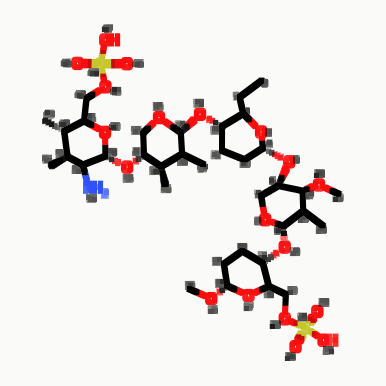 CCC1O[C@H](O[C@@H]2CO[C@@H](O[C@H]3CC[C@@H](OC)OC3COS(=O)(=O)O)C(C)[C@@H]2OC)CC[C@@H]1O[C@@H]1OC[C@@H](O[C@H]2OC(COS(=O)(=O)O)[C@@H](C)[C@H](C)C2N)[C@H](C)C1C